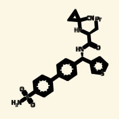 CC(C)C[C@H](NC1(C#N)CC1)C(=O)N[C@@H](c1ccc(-c2ccc(S(N)(=O)=O)cc2)cc1)c1ccsc1